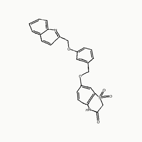 O=C1CS(=O)(=O)c2cc(OCc3cccc(OCc4ccc5ccccc5n4)c3)ccc2N1